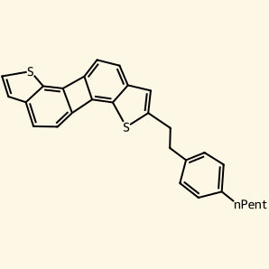 CCCCCc1ccc(CCc2cc3ccc4c(c3s2)-c2ccc3ccsc3c2-4)cc1